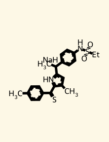 CCS(=O)(=O)Nc1ccc(C(C)c2cc(C)c(C(=S)c3ccc(C)cc3)[nH]2)cc1.[NaH]